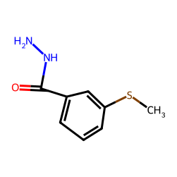 CSc1cccc(C(=O)NN)c1